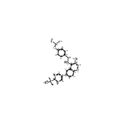 CC(C)(O)c1ncc(-c2ccc3ncc(Cl)c(NCc4ccc(OC(F)F)cc4)c3c2)cn1